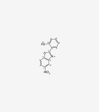 O=[N+]([O-])c1ccc2sc(-c3ccccc3S)nc2c1